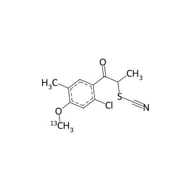 Cc1cc(C(=O)C(C)SC#N)c(Cl)cc1O[13CH3]